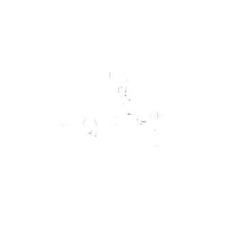 C=CN/N=C(CCCc1cncc(C)c1)/C(=C/N=C(\C)OCC(F)(F)F)CC